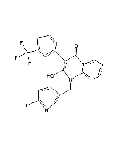 O=c1c(-c2cccc(C(F)(F)F)c2)c(O)n(Cc2ccc(F)nc2)c2cccc[n+]12